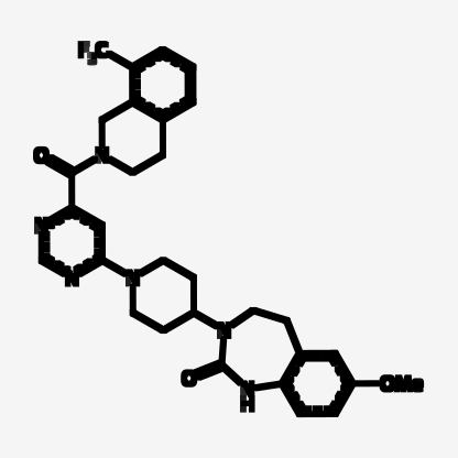 COc1ccc2c(c1)CCN(C1CCN(c3cc(C(=O)N4CCc5cccc(C(F)(F)F)c5C4)ncn3)CC1)C(=O)N2